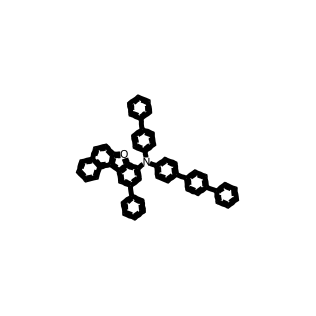 c1ccc(-c2ccc(-c3ccc(N(c4ccc(-c5ccccc5)cc4)c4cc(-c5ccccc5)cc5c4oc4ccc6ccccc6c45)cc3)cc2)cc1